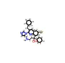 CN(C)CCC(O)(c1ccccc1)c1cc(Br)cc2cc(Cc3ccccc3)c(-n3ccnc3)nc12